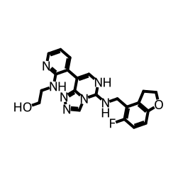 OCCNc1ncccc1C1=CNC(NCc2c(F)ccc3c2CCO3)n2cnnc21